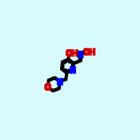 O/N=C/c1nc(CN2CCOCC2)ccc1O